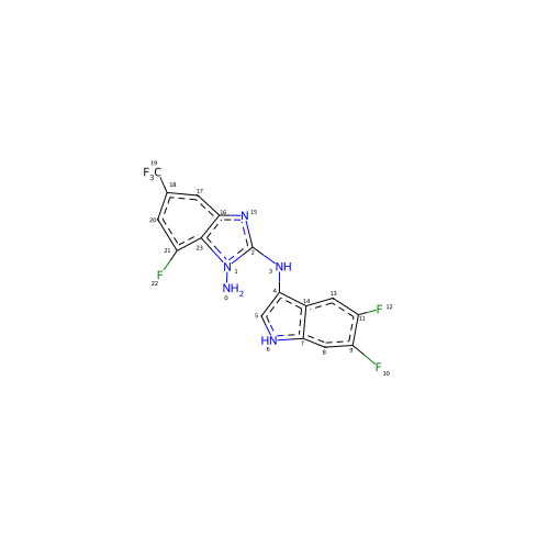 Nn1c(Nc2c[nH]c3cc(F)c(F)cc23)nc2cc(C(F)(F)F)cc(F)c21